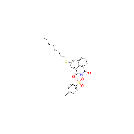 CCCCCCCCSc1cc2c3c(cccc3c1)C(=O)N(OS(=O)(=O)c1ccc(C)cc1)C2=O